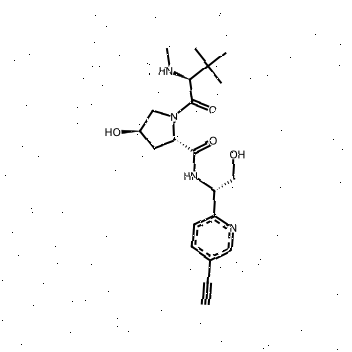 C#Cc1ccc([C@@H](CO)NC(=O)[C@@H]2C[C@@H](O)CN2C(=O)[C@@H](NC)C(C)(C)C)nc1